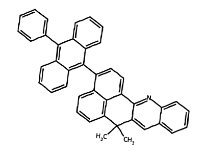 CC1(C)c2cc3ccccc3nc2-c2ccc(-c3c4ccccc4c(-c4ccccc4)c4ccccc34)c3cccc1c23